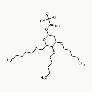 CCCCCOC[C@H]1OC(OC(=N)C(Cl)(Cl)Cl)C[C@@H](OCCCCC)[C@H]1OCCCCC